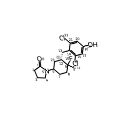 O=C1CCCN1C1CCC(F)(F)[C@@H](Cc2c(Cl)cc(O)cc2Cl)C1